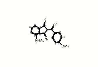 COc1ccc(C(=O)C2C(=O)c3cccc(NC(C)=O)c3C2=O)cc1